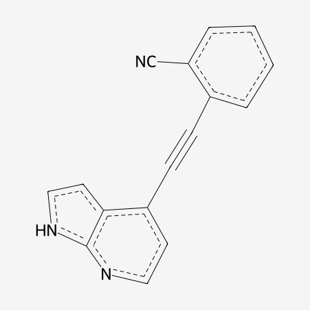 N#Cc1ccccc1C#Cc1ccnc2[nH]ccc12